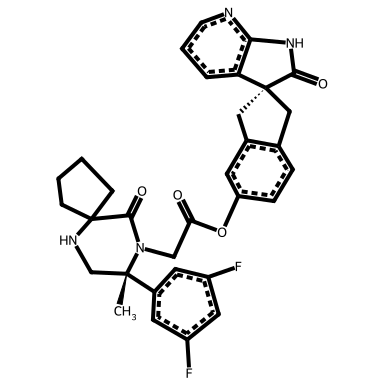 C[C@@]1(c2cc(F)cc(F)c2)CNC2(CCCC2)C(=O)N1CC(=O)Oc1ccc2c(c1)C[C@@]1(C2)C(=O)Nc2ncccc21